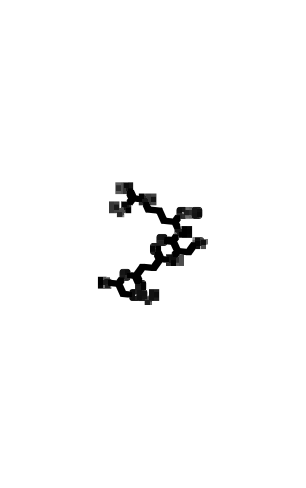 CCC(CC(=O)O)OC(=O)CCC(=O)NC(CC(C)C)C(=O)NC(C=O)CCCNC(=N)N